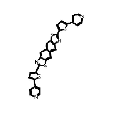 c1cc(-c2ccc(-c3nc4cc5cc6sc(-c7ccc(-c8ccncc8)s7)nc6cc5cc4s3)s2)ccn1